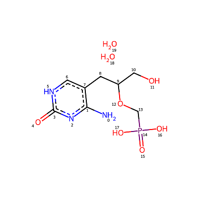 Nc1nc(=O)[nH]cc1CC(CO)OCP(=O)(O)O.O.O